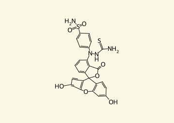 NC(=S)NN(c1ccc(S(N)(=O)=O)cc1)c1cccc2c1C(=O)OC21c2ccc(O)cc2Oc2cc(O)ccc21